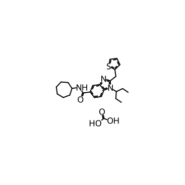 CCC(CC)n1c(Cc2cccs2)nc2cc(C(=O)NC3CCCCCC3)ccc21.O=C(O)O